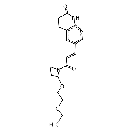 CCOCCOC1CCN1C(=O)C=Cc1cnc2c(c1)CCC(=O)N2